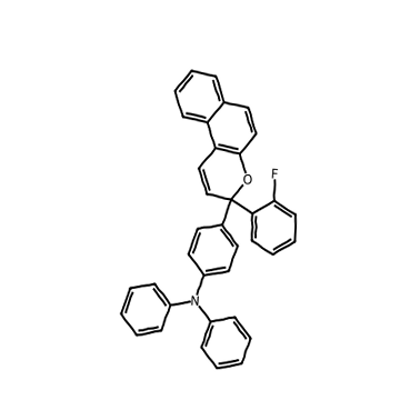 Fc1ccccc1C1(c2ccc(N(c3ccccc3)c3ccccc3)cc2)C=Cc2c(ccc3ccccc23)O1